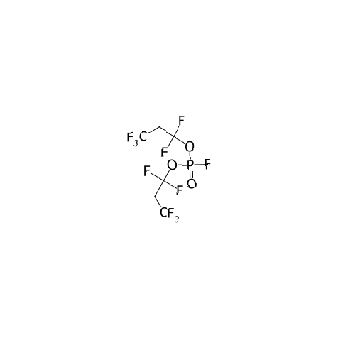 O=P(F)(OC(F)(F)CC(F)(F)F)OC(F)(F)CC(F)(F)F